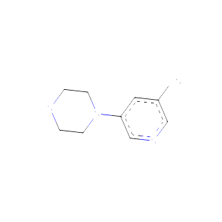 N#Cc1cncc(N2CCNCC2)c1